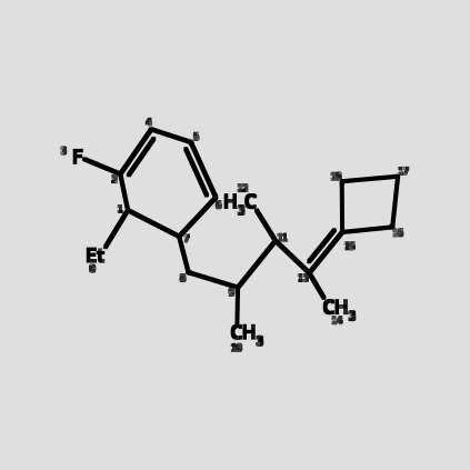 CCC1C(F)=CC=CC1CC(C)C(C)C(C)=C1CCC1